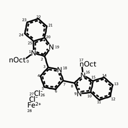 CCCCCCCCn1c(-c2cccc(-c3nc4ccccc4n3CCCCCCCC)n2)nc2ccccc21.[Cl-].[Cl-].[Fe+2]